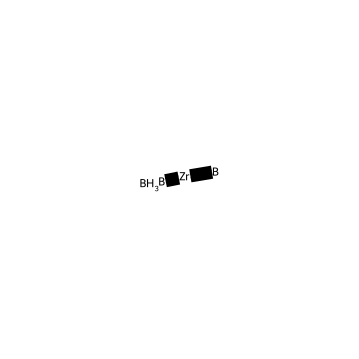 B.[B]#[Zr]#[B]